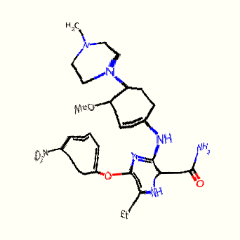 CCC1=C(OC2=CC=CC([N+](=O)[O-])C2)N=C(NC2=CC(OC)C(N3CCN(C)CC3)CC2)C(C(N)=O)N1